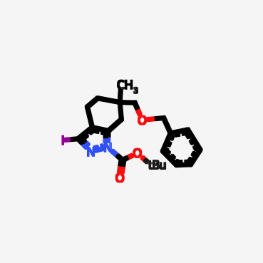 CC1(COCc2ccccc2)CCc2c(I)nn(C(=O)OC(C)(C)C)c2C1